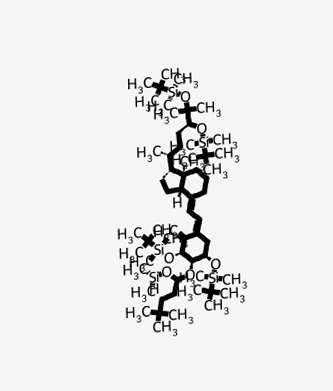 C=C1/C(=C\C=C2/CCC[C@]3(C)[C@@H]([C@H](C)CC[C@H](O[Si](C)(C)C(C)(C)C)C(C)(C)O[Si](C)(C)C(C)(C)C)CC[C@@H]23)C[C@@H](O[Si](C)(C)C(C)(C)C)[C@@H](OC(CCC(C)(C)C)O[SiH](C)C)[C@@H]1O[Si](C)(C)C(C)(C)C